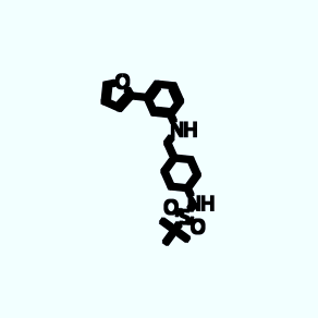 CC(C)(C)S(=O)(=O)NC1CCC(CNc2cccc(-c3ccco3)c2)CC1